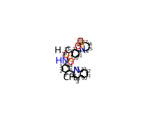 Cc1ccc(NS(=O)(=O)c2ccc(N3CCCCS3(=O)=O)cc2C)cc1-c1ccc2ccccc2n1